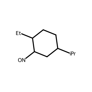 CCC1CCC(C(C)C)CC1N=O